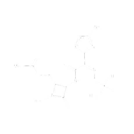 COC(=O)OCC1C(NC(=O)C(=NOC(C)(C)C(=O)O)c2csc(N)n2)C(=O)N1S(=O)(=O)O